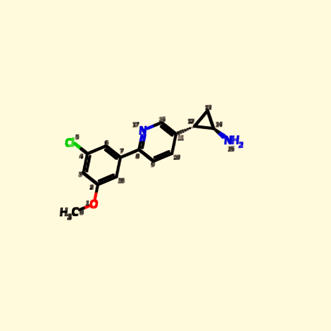 COc1cc(Cl)cc(-c2ccc([C@@H]3C[C@H]3N)cn2)c1